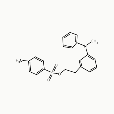 Cc1ccc(S(=O)(=O)OCCc2cccc(N(C)c3ccccc3)c2)cc1